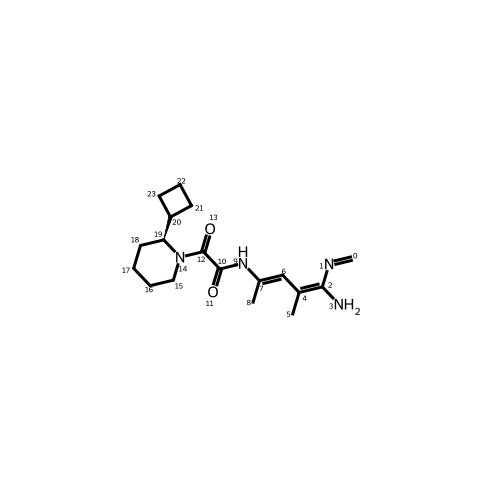 C=N/C(N)=C(C)\C=C(/C)NC(=O)C(=O)N1CCCC[C@H]1C1CCC1